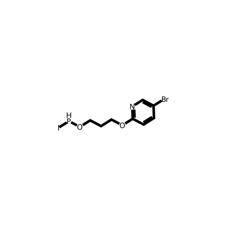 Brc1ccc(OCCCOPI)nc1